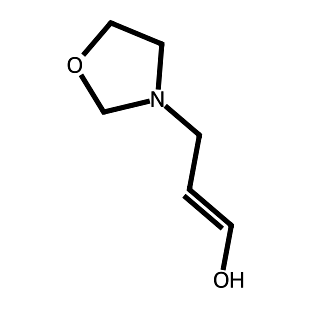 OC=CCN1CCOC1